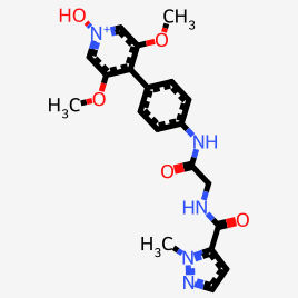 COc1c[n+](O)cc(OC)c1-c1ccc(NC(=O)CNC(=O)c2ccnn2C)cc1